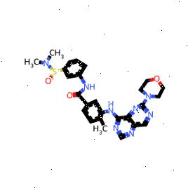 Cc1ccc(C(=O)Nc2cccc([S+]([O-])N(C)C)c2)cc1Nc1ncnc2cnc(N3CCOCC3)nc12